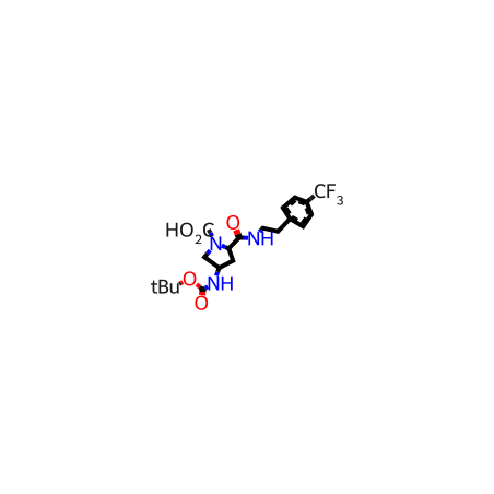 CC(C)(C)OC(=O)NC1CC(C(=O)NCCc2ccc(C(F)(F)F)cc2)N(C(=O)O)C1